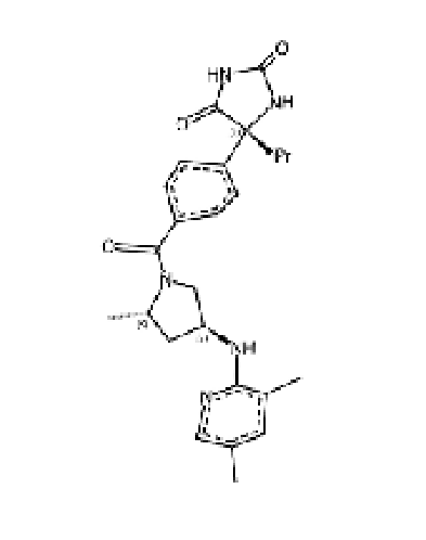 Cc1cnc(N[C@H]2C[C@H](C)N(C(=O)c3ccc([C@@]4(C(C)C)NC(=O)NC4=O)cc3)C2)c(C)c1